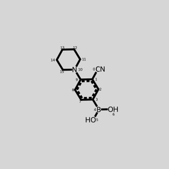 N#Cc1cc(B(O)O)ccc1N1CCCCC1